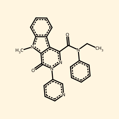 CCN(C(=O)c1nn(-c2cccnc2)c(=O)c2c1c1ccccc1n2C)c1ccccc1